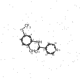 O=C(Nc1cc(SC(F)(F)F)ccc1O)c1ccncc1